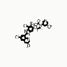 COc1cncc(N(C(=O)O)[C@H](C)[C@H](C)Oc2cc3sc(-c4cc(Cl)cc5cc(OC)cnc45)nc3c(Cl)c2F)c1